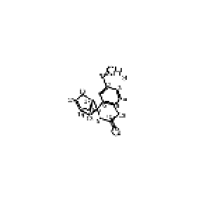 CCc1ccc2c(c1)C1(CC(=O)C2)CC2=CCC1C2